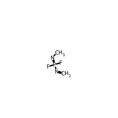 C=NP(F)(F)=NC